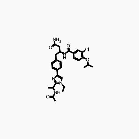 CCn1cc(-c2ccc(CC(CC(N)=O)NC(=O)c3ccc(OC(C)C)c(Cl)c3)cc2)nc1C(C)NC(C)=O